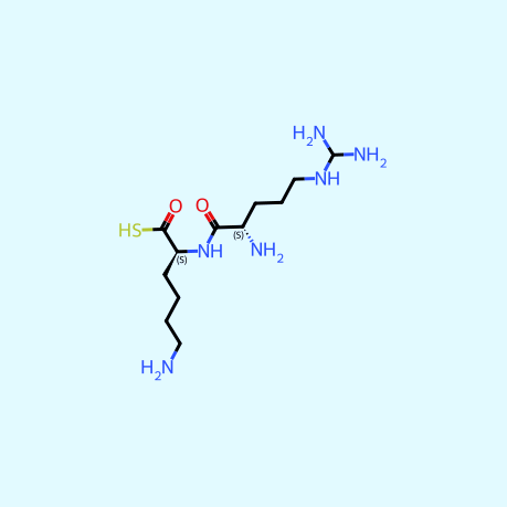 NCCCC[C@H](NC(=O)[C@@H](N)CCCNC(N)N)C(=O)S